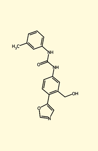 Cc1cccc(NC(=O)Nc2ccc(-c3cnco3)c(CO)c2)c1